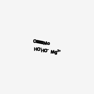 [Mg+2].[OH-].[OH-].[O]=[Mo]